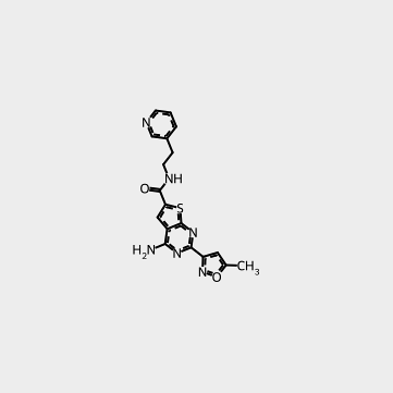 Cc1cc(-c2nc(N)c3cc(C(=O)NCCc4cccnc4)sc3n2)no1